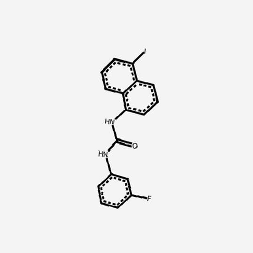 O=C(Nc1cccc(F)c1)Nc1cccc2c(I)cccc12